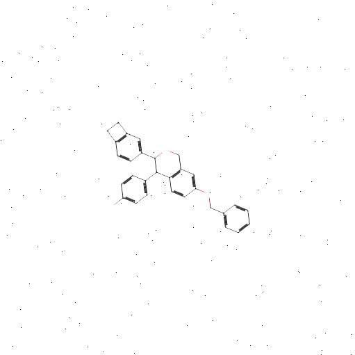 Brc1ccc(C2c3ccc(OCc4ccccc4)cc3COC2c2ccc3c(c2)CC3)cc1